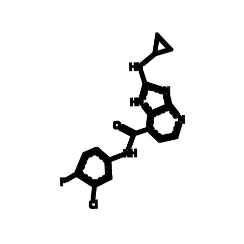 O=C(Nc1ccc(F)c(Cl)c1)c1ccnc2nc(NC3CC3)[nH]c12